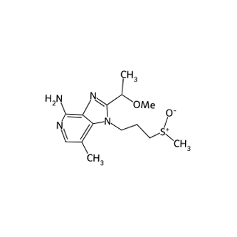 COC(C)c1nc2c(N)ncc(C)c2n1CCC[S+](C)[O-]